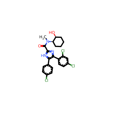 CN(C(=O)c1nc(-c2ccc(Cl)cc2Cl)c(-c2ccc(Cl)cc2)[nH]1)[C@@H]1CCCC[C@@H]1O